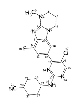 CN1CCCn2c1nc1c(F)cc(-c3nc(NC4CCC(C#N)CC4)ncc3Cl)cc12